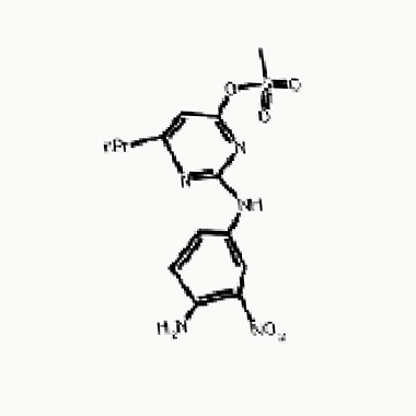 CCCc1cc(OS(C)(=O)=O)nc(Nc2ccc(N)c([N+](=O)[O-])c2)n1